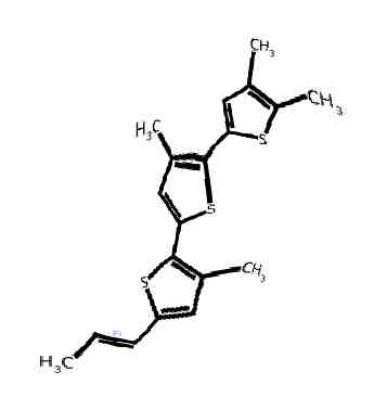 C/C=C/c1cc(C)c(-c2cc(C)c(-c3cc(C)c(C)s3)s2)s1